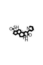 C[C@]12CCC3C(CC[C@@H]4NC(=O)C(c5ccccn5)C[C@]34C)C1CC[C@@H]2C(=O)S